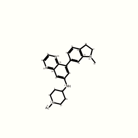 CC(=O)N1CCC(Nc2cc(-c3ccc4c(c3)N(C)CC4)c3nccnc3c2)CC1